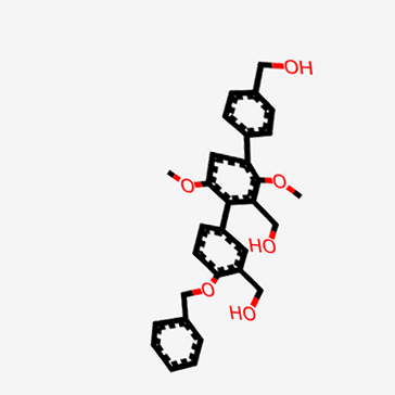 COc1cc(-c2ccc(CO)cc2)c(OC)c(CO)c1-c1ccc(OCc2ccccc2)c(CO)c1